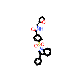 O=C(NC[C@H]1CCCO1)c1ccc(S(=O)(=O)n2cc(-c3ccccc3)c3ccccc32)cc1